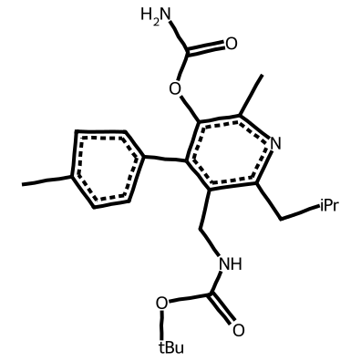 Cc1ccc(-c2c(CNC(=O)OC(C)(C)C)c(CC(C)C)nc(C)c2OC(N)=O)cc1